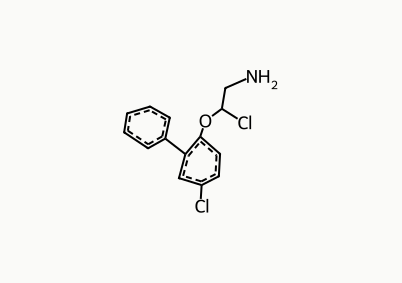 NCC(Cl)Oc1ccc(Cl)cc1-c1ccccc1